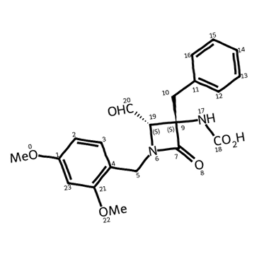 COc1ccc(CN2C(=O)[C@@](Cc3ccccc3)(NC(=O)O)[C@H]2C=O)c(OC)c1